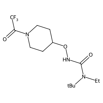 CCN(C(=O)NOC1CCN(C(=O)C(F)(F)F)CC1)C(C)(C)C